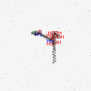 CCCCCCCCCCCCCC[C@@H](O)[C@@H](O)[C@H](CO[C@H]1OC(CO)[C@H](O)[C@H](O)C1O)NC(=O)CCCCCCCCNC(=O)c1ccc(F)cc1